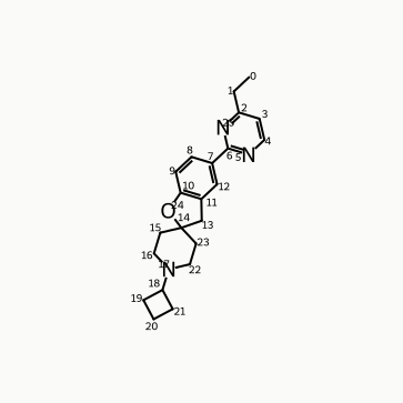 CCc1ccnc(-c2ccc3c(c2)CC2(CCN(C4CCC4)CC2)O3)n1